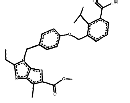 CCc1nc2c(C)c(C(=O)OC)sc2n1Cc1ccc(OCc2cccc(C(=O)O)c2C(C)C)cc1